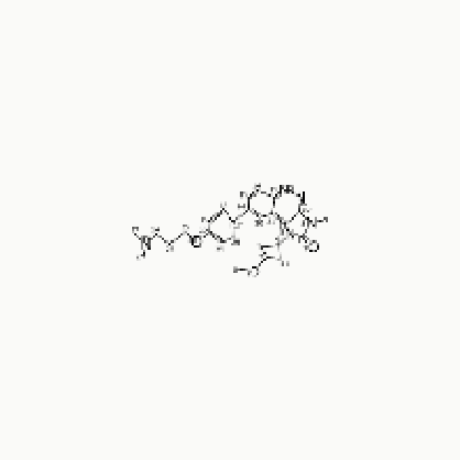 COC1CC(n2c(=O)n(C)c3nnc4ccc(-c5ccc(OCCCN(C)C)cc5)cc4c32)C1